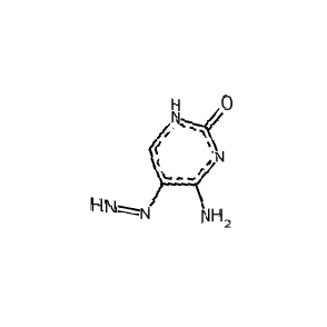 N=Nc1c[nH]c(=O)nc1N